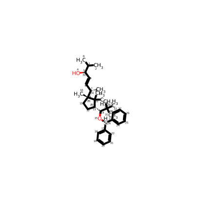 CC(C)[C@H](O)C=C[C@H](C)[C@@]1(C)CC[C@@H](C(O[SiH](c2ccccc2)c2ccccc2)C(C)(C)C)C1(C)C